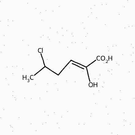 CC(Cl)C/C=C(\O)C(=O)O